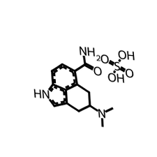 CN(C)C1Cc2c[nH]c3ccc(C(N)=O)c(c23)C1.O=S(=O)(O)O